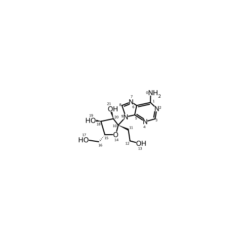 Nc1ncnc2c1ncn2[C@]1(CCO)O[C@H](CO)[C@@H](O)[C@H]1O